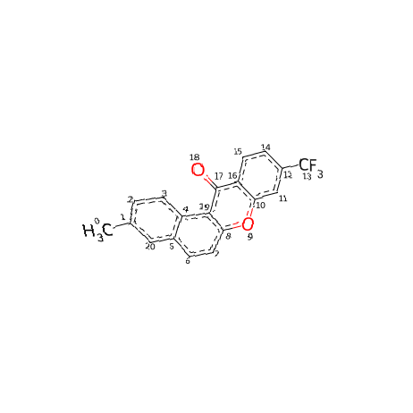 Cc1ccc2c(ccc3oc4cc(C(F)(F)F)ccc4c(=O)c32)c1